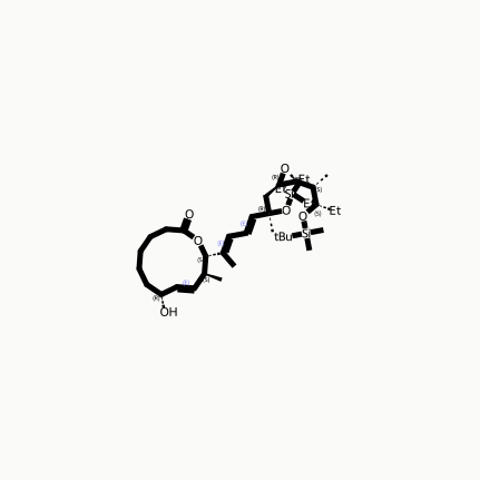 CC[C@H](O[Si](C)(C)C(C)(C)C)[C@@H](C)[C@H]1O[C@@H]1C[C@](C)(/C=C/C=C(\C)[C@H]1OC(=O)CCCCC[C@@H](O)/C=C/[C@@H]1C)O[Si](CC)(CC)CC